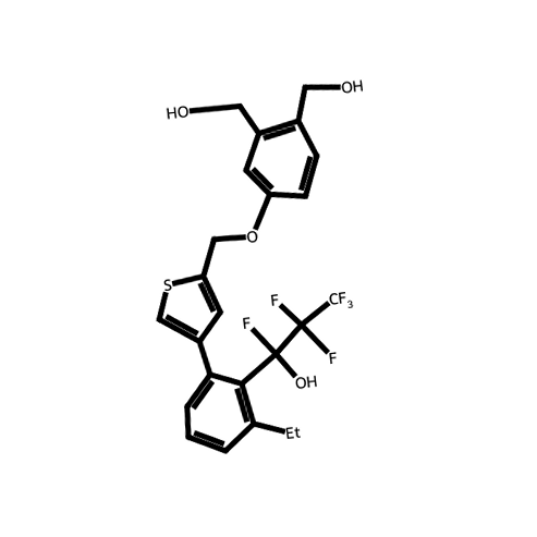 CCc1cccc(-c2csc(COc3ccc(CO)c(CO)c3)c2)c1C(O)(F)C(F)(F)C(F)(F)F